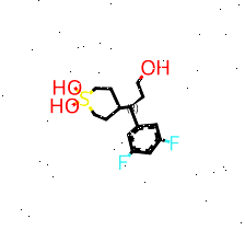 OCC[C@@H](c1cc(F)cc(F)c1)C1CCS(O)(O)CC1